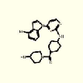 O=C(C1CCC(Nc2nccc(-n3ccc4c(Br)cccc43)n2)CC1)N1CCC(O)CC1